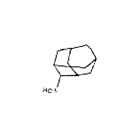 O=C(O)C1[C]2CC3CC(C2)CC1C3